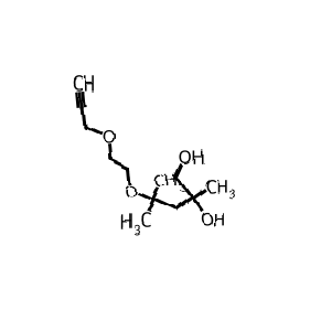 C#CCOCCOC(C)(C)CC(C)(O)CO